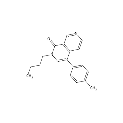 CCCCn1cc(-c2ccc(C)cc2)c2ccncc2c1=O